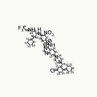 O=[N+]([O-])c1cc(S(=O)(=O)Nc2ncnc3cc(N4CCN(Cc5cc(Cl)ccc5-c5ccccc5)CC4)ccc23)ccc1NC(CCNCC(F)(F)F)CSc1ccccc1